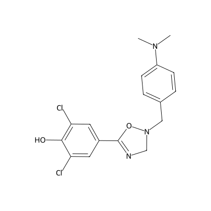 CN(C)c1ccc(CN2CN=C(c3cc(Cl)c(O)c(Cl)c3)O2)cc1